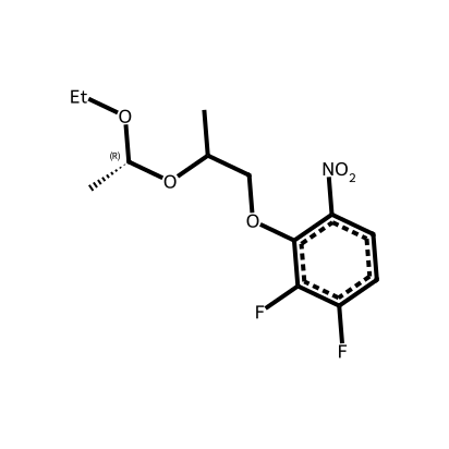 CCO[C@@H](C)OC(C)COc1c([N+](=O)[O-])ccc(F)c1F